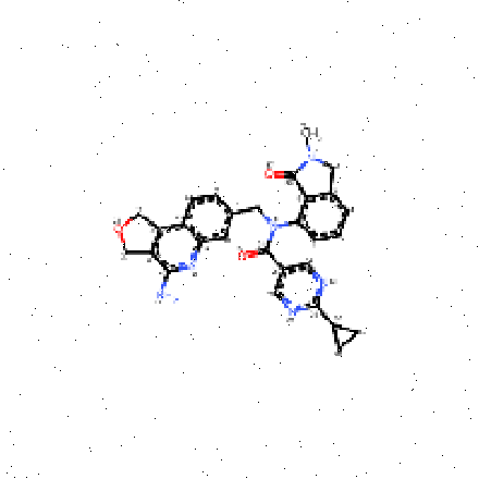 CN1Cc2cccc(N(Cc3ccc4c5c(c(N)nc4c3)COC5)C(=O)c3cnc(C4CC4)nc3)c2C1=O